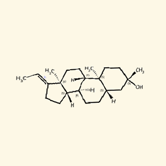 C/C=C1\CC[C@H]2[C@@H]3CC[C@H]4C[C@@](C)(O)CC[C@]4(C)[C@H]3CC[C@]12C